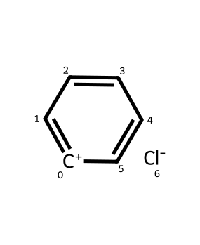 [C+]1=CC=CC=C1.[Cl-]